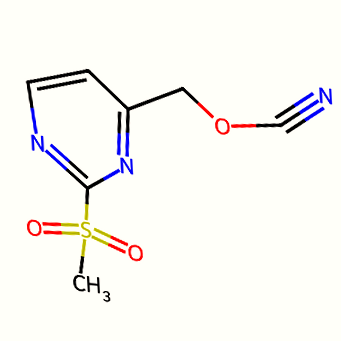 CS(=O)(=O)c1nccc(COC#N)n1